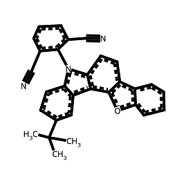 CC(C)(C)c1ccc2c(c1)c1c3oc4ccccc4c3ccc1n2-c1c(C#N)cccc1C#N